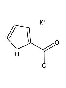 O=C([O-])C1=CC=C[IH]1.[K+]